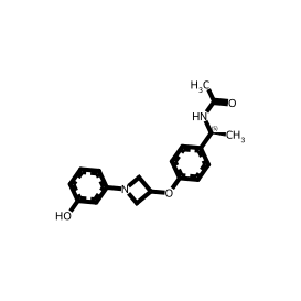 CC(=O)N[C@@H](C)c1ccc(OC2CN(c3cccc(O)c3)C2)cc1